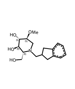 CO[C@H]1CN(CC2Cc3ccccc3C2)[C@H](CO)[C@@H](O)[C@@H]1O